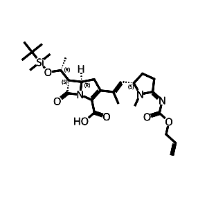 C=CCOC(=O)N=C1CC[C@@H](C=C(C)C2=C(C(=O)O)N3C(=O)[C@H]([C@@H](C)O[Si](C)(C)C(C)(C)C)[C@H]3C2)N1C